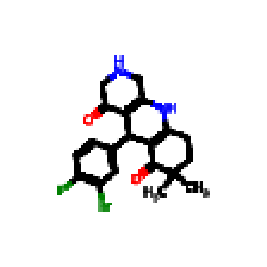 CC1(C)CCC2=C(C1=O)C(c1ccc(F)c(Br)c1)C1=C(CNCC1=O)N2